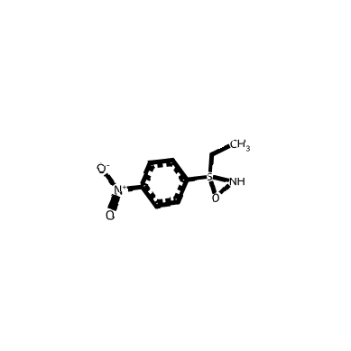 CCS1(c2ccc([N+](=O)[O-])cc2)NO1